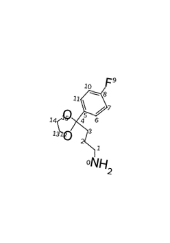 NCCCC1(c2ccc(F)cc2)OCCO1